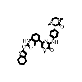 Cc1c(NC(=O)Oc2cc3c(s2)CCCC3)cccc1-c1cn(C)c(=O)c(Nc2ccc([C@H]3C(=O)N(C)CCN3C)cc2)n1